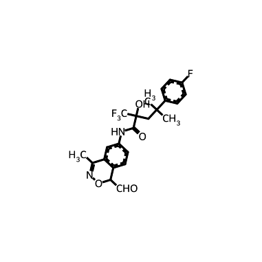 CC1=NOC(C=O)c2ccc(NC(=O)C(O)(CC(C)(C)c3ccc(F)cc3)C(F)(F)F)cc21